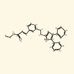 CCOC(=O)C=Cc1cccc(CCc2cc(-c3ccccc3)c(-c3ccccc3)[nH]2)c1